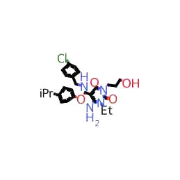 CCn1c(N)c([C@H](NCc2ccc(Cl)cc2)Oc2ccc(C(C)C)cc2)c(=O)n(CCCO)c1=O